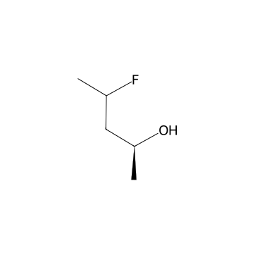 CC(F)C[C@H](C)O